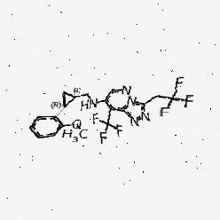 COc1ccccc1[C@@H]1C[C@H]1CNc1cnn2c(CC(F)(F)F)nnc2c1C(F)(F)F